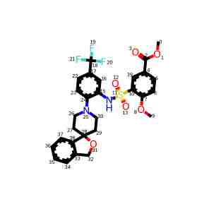 COC(=O)c1ccc(OC)c(S(=O)(=O)Nc2cc(C(F)(F)F)ccc2N2CCC3(CC2)OCc2ccccc23)c1